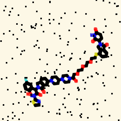 O=C1CCC(N2Cc3c(SCCOCCOCCOCC(=O)N4CCN(C5CCN(c6ccc7c(c6)C(=O)N(C(C(=O)Nc6nccs6)c6cc(F)ccc6O)C7)CC5)CC4)cccc3C2=O)C(=O)N1